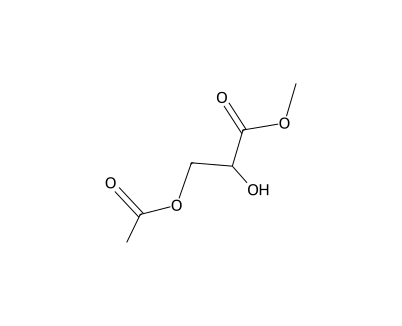 COC(=O)C(O)COC(C)=O